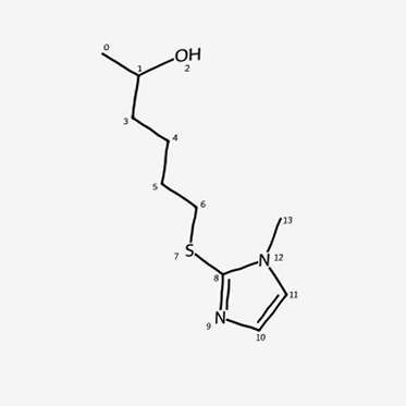 CC(O)CCCCSc1nccn1C